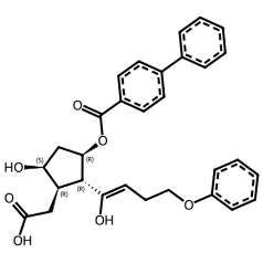 O=C(O)C[C@@H]1[C@@H](C(O)=CCCOc2ccccc2)[C@H](OC(=O)c2ccc(-c3ccccc3)cc2)C[C@@H]1O